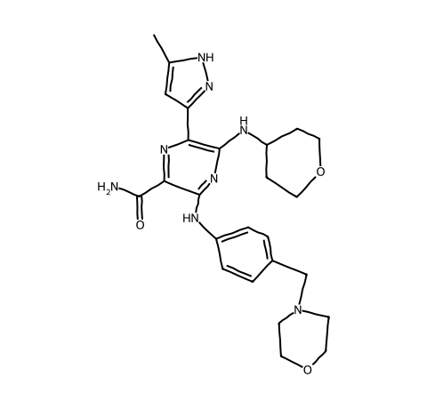 Cc1cc(-c2nc(C(N)=O)c(Nc3ccc(CN4CCOCC4)cc3)nc2NC2CCOCC2)n[nH]1